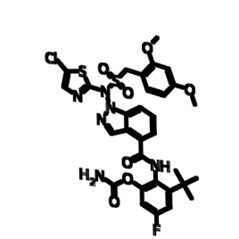 COc1ccc(CS(=O)(=O)N(c2ncc(Cl)s2)n2ncc3c(C(=O)Nc4c(OC(N)=O)cc(F)cc4C(C)(C)C)cccc32)c(OC)c1